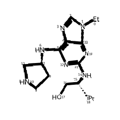 CCn1cnc2c(N[C@H]3CCNC3)nc(N[C@@H](CO)C(C)C)nc21